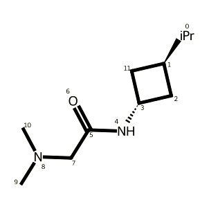 CC(C)[C@H]1C[C@H](NC(=O)CN(C)C)C1